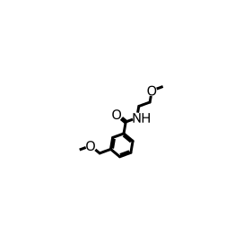 COCCNC(=O)c1cccc(COC)c1